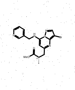 COC(=O)[C@@H](C)Cc1cc(NCc2cccnc2)n2ncc(Br)c2n1